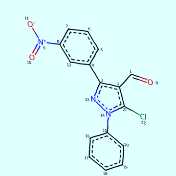 O=Cc1c(-c2cccc([N+](=O)[O-])c2)nn(-c2ccccc2)c1Cl